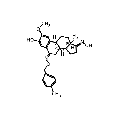 COc1cc2c(cc1O)C(=NOCc1ccc(C)cc1)C[C@@H]1[C@@H]2CC[C@]2(C)C(=NO)CC[C@@H]12